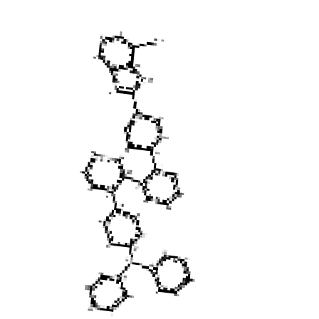 Clc1cccc2nc(-c3ccc(-c4ccccc4-c4ccccc4-c4ccc(N(c5ccccc5)c5ccccc5)cc4)cc3)oc12